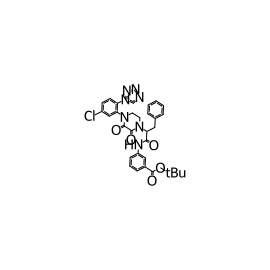 CC(C)(C)OC(=O)c1cccc(NC(=O)C(Cc2ccccc2)N2CCN(c3cc(Cl)ccc3-n3cnnn3)C(=O)C2=O)c1